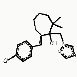 CC1(C)CCCCC(=Cc2ccc(Cl)cc2)C1(O)Cn1cncn1